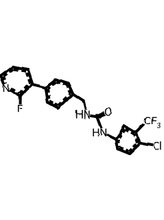 O=C(NCc1ccc(-c2cccnc2F)cc1)Nc1ccc(Cl)c(C(F)(F)F)c1